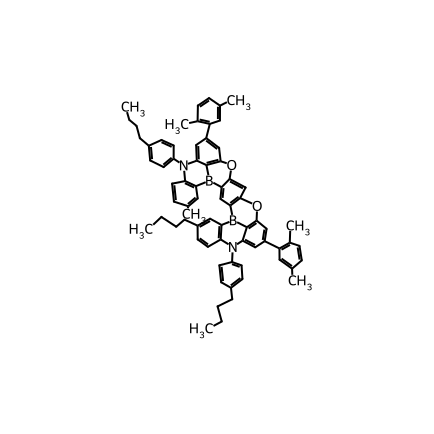 CCCCc1ccc(N2c3ccc(C)cc3B3c4cc5c(cc4Oc4cc(-c6cc(C)ccc6C)cc2c43)Oc2cc(-c3cc(C)ccc3C)cc3c2B5c2cc(CCCC)ccc2N3c2ccc(CCCC)cc2)cc1